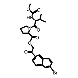 COC(=O)N[C@H](C(=O)N1CCCC1C(=O)OCC(=O)c1ccc2cc(Br)ccc2c1)C(C)C